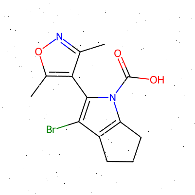 Cc1noc(C)c1-c1c(Br)c2c(n1C(=O)O)CCC2